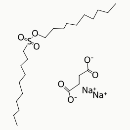 CCCCCCCCCCOS(=O)(=O)CCCCCCCCCC.O=C([O-])CCC(=O)[O-].[Na+].[Na+]